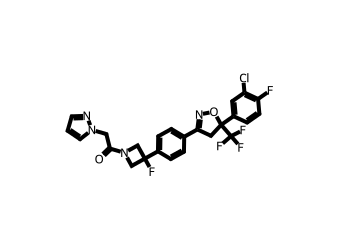 O=C(Cn1cccn1)N1CC(F)(c2ccc(C3=NOC(c4ccc(F)c(Cl)c4)(C(F)(F)F)C3)cc2)C1